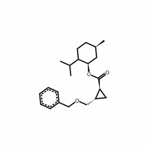 CC(C)C1CC[C@@H](C)C[C@H]1OC(=O)[C@H]1C[C@@H]1COCc1ccccc1